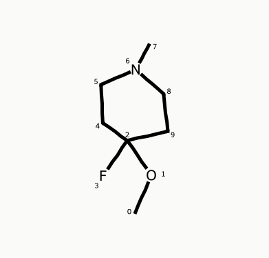 COC1(F)CCN(C)CC1